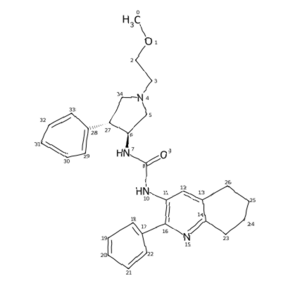 COCCN1C[C@@H](NC(=O)Nc2cc3c(nc2-c2ccccc2)CCCC3)[C@H](c2ccccc2)C1